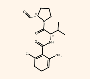 CC(C)[C@H](NC(=O)C1=C(Cl)CCC=C1N)C(=O)N1CCC[C@H]1C=O